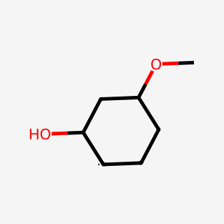 COC1CC[CH]C(O)C1